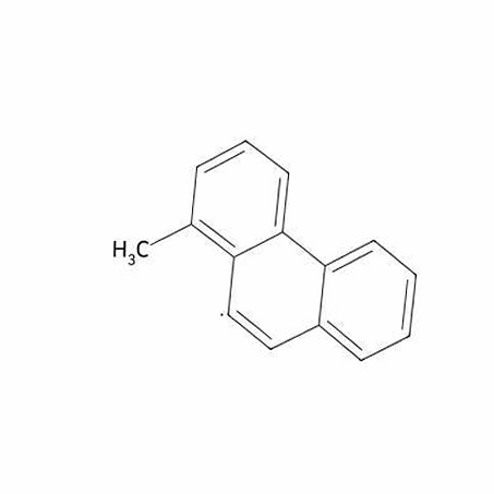 Cc1cccc2c1[c]cc1ccccc12